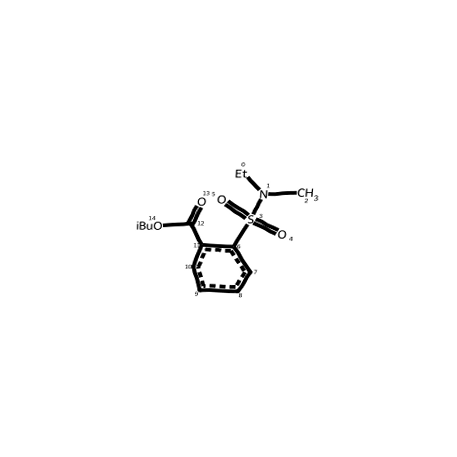 CCN(C)S(=O)(=O)c1ccccc1C(=O)OCC(C)C